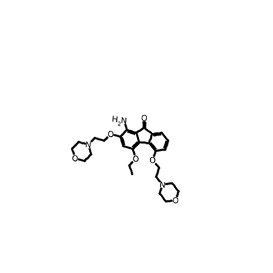 CCOc1cc(OCCN2CCOCC2)c(N)c2c1-c1c(OCCN3CCOCC3)cccc1C2=O